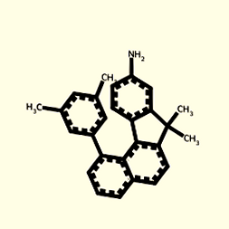 Cc1cc(C)cc(-c2cccc3ccc4c(c23)-c2ccc(N)cc2C4(C)C)c1